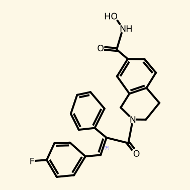 O=C(NO)c1ccc2c(c1)CN(C(=O)/C(=C/c1ccc(F)cc1)c1ccccc1)CC2